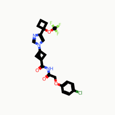 O=C(COc1ccc(Cl)cc1)NC(=O)C12CC(n3cnc(C4(OC(F)(F)F)CCC4)c3)(C1)C2